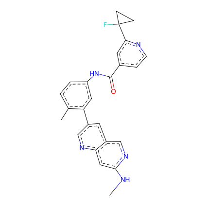 CNc1cc2ncc(-c3cc(NC(=O)c4ccnc(C5(F)CC5)c4)ccc3C)cc2cn1